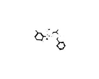 CC(NCc1ccccc1)[C@@H](CO)NS(=O)(=O)C1=CC(Cl)=CCC1=S